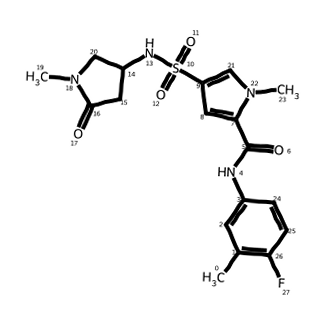 Cc1cc(NC(=O)c2cc(S(=O)(=O)NC3CC(=O)N(C)C3)cn2C)ccc1F